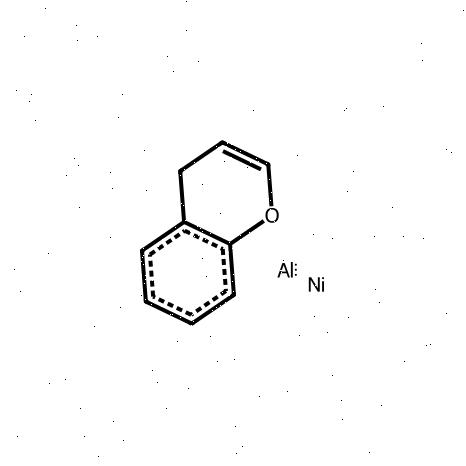 C1=COc2ccccc2C1.[Al].[Ni]